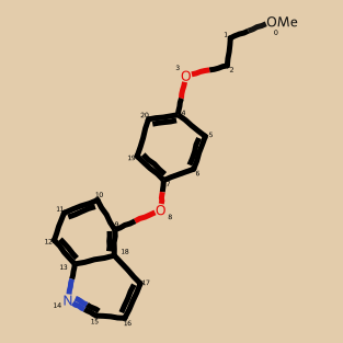 COCCOc1ccc(Oc2cccc3ncccc23)cc1